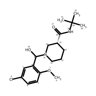 COc1ccc(Cl)cc1C(O)N1CCC[C@@H](C(=O)NC(C)(C)C)C1